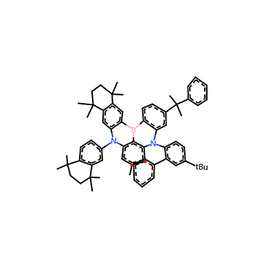 Cc1cc2c3c(c1)N(c1ccc(C(C)(C)C)cc1-c1ccccc1)c1cc(C(C)(C)c4ccccc4)ccc1B3c1cc3c(cc1N2c1ccc2c(c1)C(C)(C)CCC2(C)C)C(C)(C)CCC3(C)C